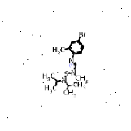 Cc1cc(Br)ccc1/N=C/N(C)SN(C(C)C)C(C)C